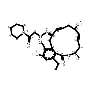 CCc1cc(O)c(Cl)c2c1C(=O)O[C@H](C)C/C=C/C(O)C/C=C/C(=N/OCC(=O)N1CCCCC1)C2